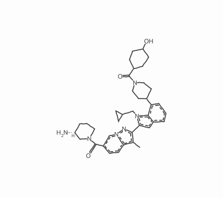 Cc1c(-c2cc3cccc(C4CCN(C(=O)C5CCC(O)CC5)CC4)c3n2CC2CC2)nn2cc(C(=O)N3CCC[C@@H](N)C3)ccc12